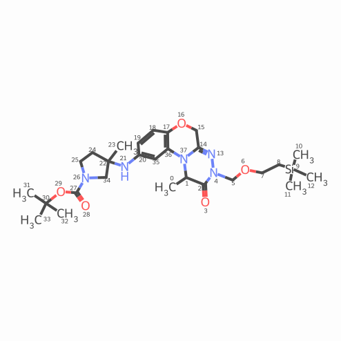 CC1C(=O)N(COCC[Si](C)(C)C)N=C2COc3ccc(NC4(C)CCN(C(=O)OC(C)(C)C)C4)cc3N21